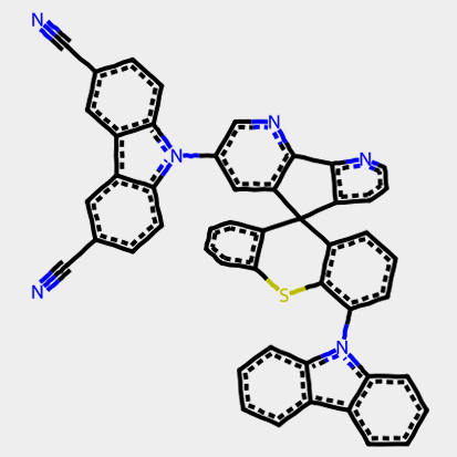 N#Cc1ccc2c(c1)c1cc(C#N)ccc1n2-c1cnc2c(c1)C1(c3ccccc3Sc3c(-n4c5ccccc5c5ccccc54)cccc31)c1cccnc1-2